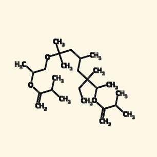 C=C(OC(C)COC(C)(C)CC(C)CC(C)(CC)C(C)OC(=C)C(C)C)C(C)C